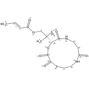 CC(C)(COC(=O)/C=C/C(=O)O)[C@H]1OC(=O)C(=O)SCCNC(=O)CCNC1=O